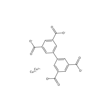 O=C([O-])c1cc(C(=O)[O-])cc(-c2cc(C(=O)[O-])cc(C(=O)[O-])c2)c1.[Cu+2].[Cu+2]